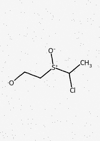 CC(Cl)[S+]([O-])CC[O]